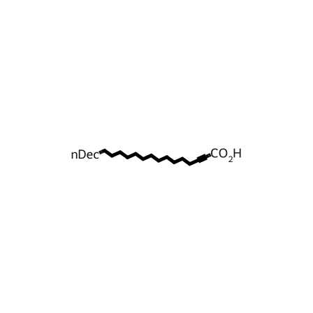 CCCCCCCCCCCCCCCCCCCCCCC#CC(=O)O